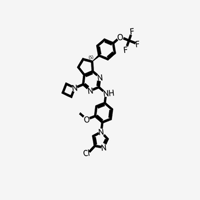 COc1cc(Nc2nc3c(c(N4CCC4)n2)CC[C@H]3c2ccc(OC(F)(F)F)cc2)ccc1-n1cnc(Cl)c1